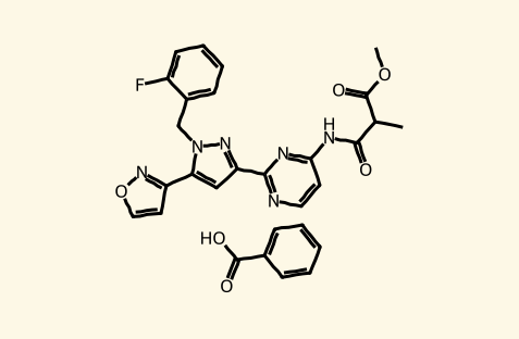 COC(=O)C(C)C(=O)Nc1ccnc(-c2cc(-c3ccon3)n(Cc3ccccc3F)n2)n1.O=C(O)c1ccccc1